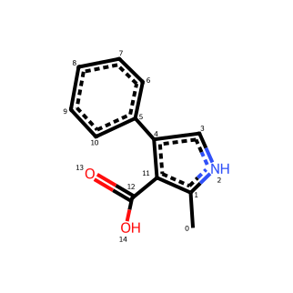 Cc1[nH]cc(-c2ccccc2)c1C(=O)O